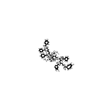 CC(=O)OC(CCOC(O)C(CC(CCOC(=O)c1ccccc1)OC(=O)c1ccccc1)OC(=O)c1ccccc1)C(OC(O)C(CC(CCOC(=O)c1ccccc1)OC(=O)c1ccccc1)OC(=O)c1ccccc1)C(OC(C)=O)C(O)O